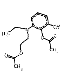 CCN(CCOC(C)=O)c1cccc(O)c1OC(C)=O